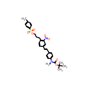 Cc1ccc(S(=O)(=O)OCCCc2ccc(/C=C/c3ccc(N(C)C(=O)OC(C)(C)C)cc3)cc2[N+](=O)[O-])cc1